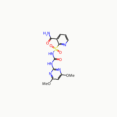 COc1cc(OC)nc(NC(=O)NS(=O)(=O)c2ncccc2C(N)=O)n1